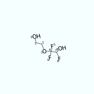 OCCOC(F)(F)C(O)F